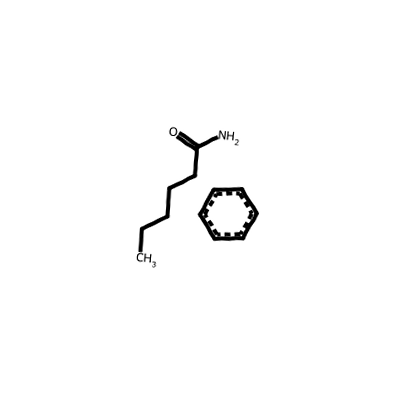 CCCCCC(N)=O.c1ccccc1